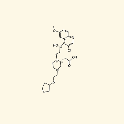 COc1ccc2ncc(Cl)c([C@@H](O)CC[C@@H]3CCN(CCSC4CCCC4)C[C@H]3CC(=O)O)c2c1